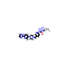 CCNC(=O)Nc1ccc(CN2CCN(c3ccc(-c4ncc[nH]4)nc3F)CC2)cn1